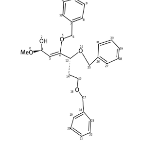 CO[C@@H](O)/C=C(\OCc1ccccc1)[C@@H](CCOCc1ccccc1)OCc1ccccc1